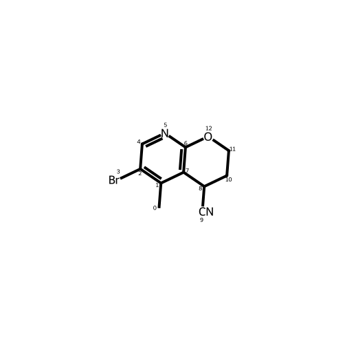 Cc1c(Br)cnc2c1C(C#N)CCO2